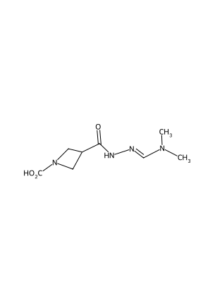 CN(C)C=NNC(=O)C1CN(C(=O)O)C1